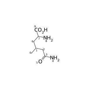 CC(CC(N)=O)CC(N)C(=O)O